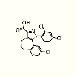 O=C(O)c1nn(-c2ccc(Cl)cc2Cl)c2c1CCCc1ccc(Cl)cc1-2